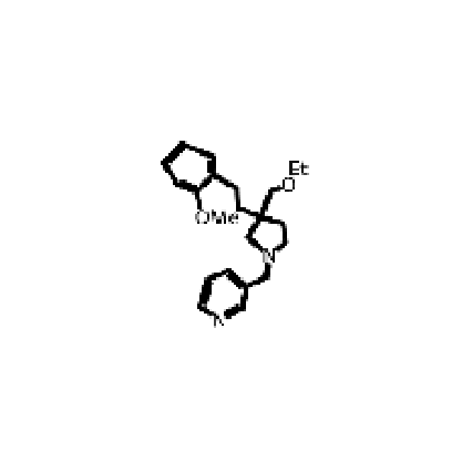 CCOCC1(CCc2ccccc2OC)CCN(Cc2cccnc2)C1